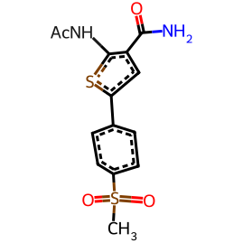 CC(=O)Nc1sc(-c2ccc(S(C)(=O)=O)cc2)cc1C(N)=O